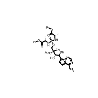 CO[C@](C#N)(COP(=O)(N[C@@H](C)C(=O)OC(C)C)N[C@@H](C)C(=O)OC(C)C)[C@@H](O)[C@@H](O)c1ccc2c(N)ncnn12